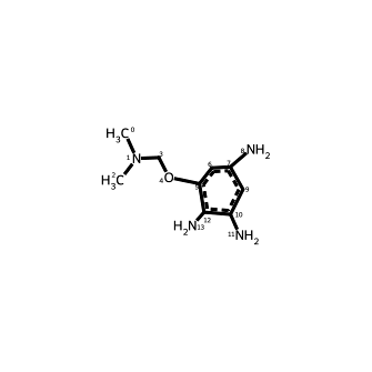 CN(C)COc1cc(N)cc(N)c1N